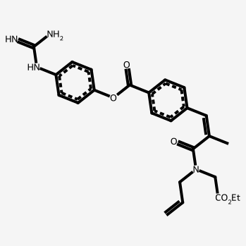 C=CCN(CC(=O)OCC)C(=O)C(C)=Cc1ccc(C(=O)Oc2ccc(NC(=N)N)cc2)cc1